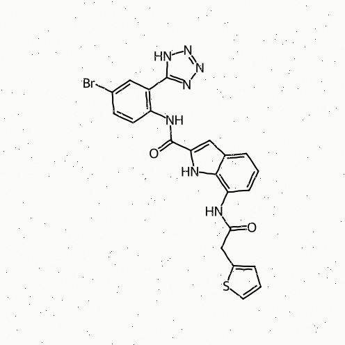 O=C(Cc1cccs1)Nc1cccc2cc(C(=O)Nc3ccc(Br)cc3-c3nnn[nH]3)[nH]c12